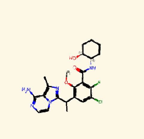 Cc1nc(C(C)c2cc(Cl)c(F)c(C(=O)N[C@H]3CCCC[C@@H]3O)c2OC(C)C)n2ccnc(N)c12